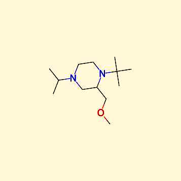 COCC1CN(C(C)C)CCN1C(C)(C)C